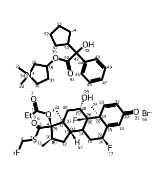 CCC(=O)O[C@]1(C(=O)SCF)[C@H](C)C[C@H]2C3C[C@H](F)C4=CC(=O)C=C[C@]4(C)[C@@]3(F)[C@@H](O)C[C@@]21C.C[N+]1(C)CCC(OC(=O)C(O)(c2ccccc2)C2CCCC2)C1.[Br-]